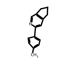 Cc1ccc(-c2cc3c(cn2)CCC3)cc1